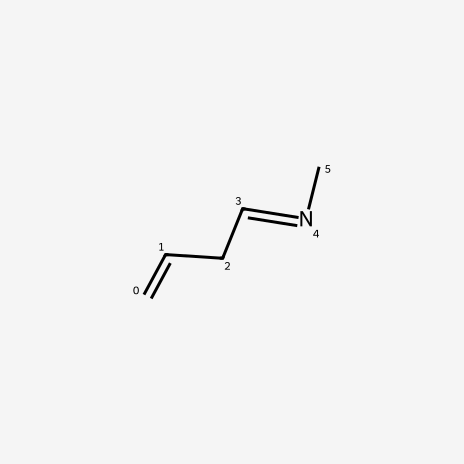 C=CCC=NC